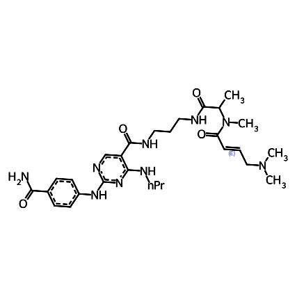 CCCNc1nc(Nc2ccc(C(N)=O)cc2)ncc1C(=O)NCCCNC(=O)C(C)N(C)C(=O)/C=C/CN(C)C